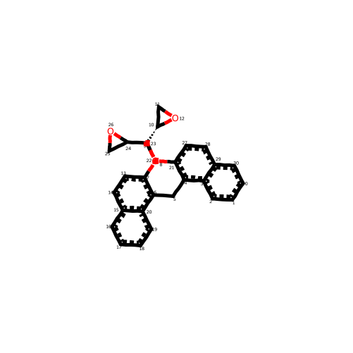 c1ccc2c(Cc3c(OC[C@@H]4CO4)ccc4ccccc34)c(OCC3CO3)ccc2c1